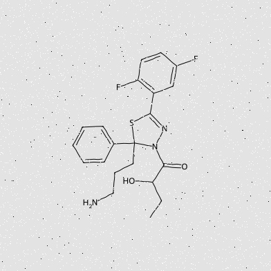 CCC(O)C(=O)N1N=C(c2cc(F)ccc2F)SC1(CCCN)c1ccccc1